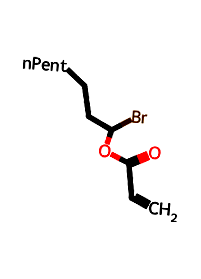 C=CC(=O)OC(Br)CCCCCCC